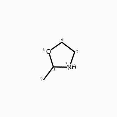 [CH2]C1NCCO1